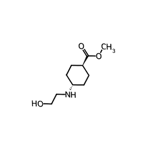 COC(=O)[C@H]1CC[C@H](NCCO)CC1